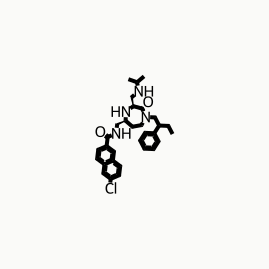 CCC(CN1CC[C@@H](CNC(=O)c2ccc3cc(Cl)ccc3c2)N[C@@H](CNC(C)C)C1=O)c1ccccc1